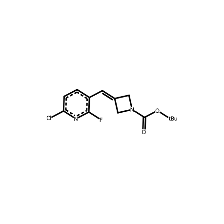 CC(C)(C)OC(=O)N1CC(=Cc2ccc(Cl)nc2F)C1